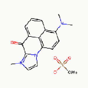 CN(C)c1ccc2c3c1cccc3c(=O)c1n2cc[n+]1C.COS(=O)(=O)[O-]